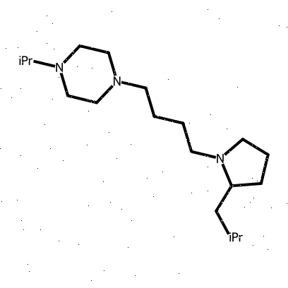 CC(C)CC1CCCN1CCCCN1CCN(C(C)C)CC1